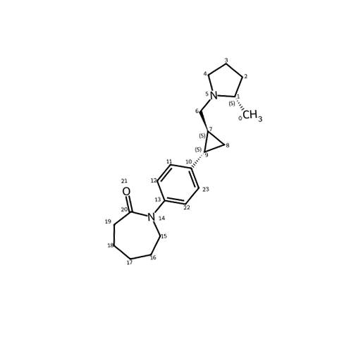 C[C@H]1CCCN1C[C@H]1C[C@@H]1c1ccc(N2CCCCCC2=O)cc1